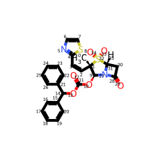 C[C@]1(/C=C\c2nccs2)[C@H](OC(=O)OC(c2ccccc2)c2ccccc2)N2C(=O)C[C@H]2S1(=O)=O